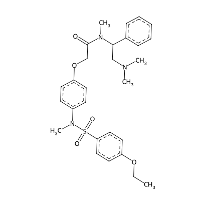 CCOc1ccc(S(=O)(=O)N(C)c2ccc(OCC(=O)N(C)C(CN(C)C)c3ccccc3)cc2)cc1